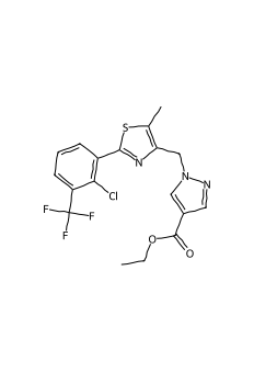 CCOC(=O)c1cnn(Cc2nc(-c3cccc(C(F)(F)F)c3Cl)sc2C)c1